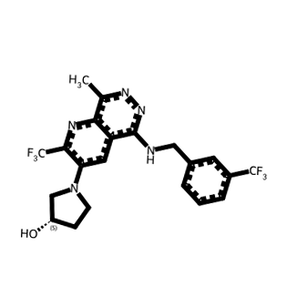 Cc1nnc(NCc2cccc(C(F)(F)F)c2)c2cc(N3CC[C@H](O)C3)c(C(F)(F)F)nc12